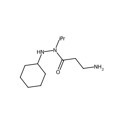 CC(C)N(NC1CCCCC1)C(=O)CCN